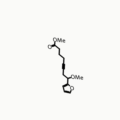 COC(=O)CCCC#CCC(OC)c1ccco1